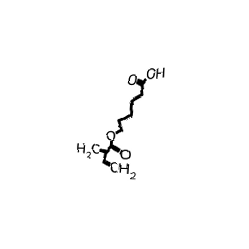 C=CC(=C)C(=O)OCCCCCC(=O)O